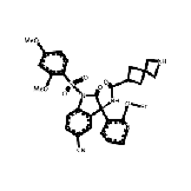 CCOc1ncccc1[C@@]1(NC(=O)C2CC3(CNC3)C2)C(=O)N(S(=O)(=O)c2ccc(OC)cc2OC)c2ccc(C#N)cc21